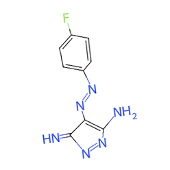 N=C1N=NC(N)=C1N=Nc1ccc(F)cc1